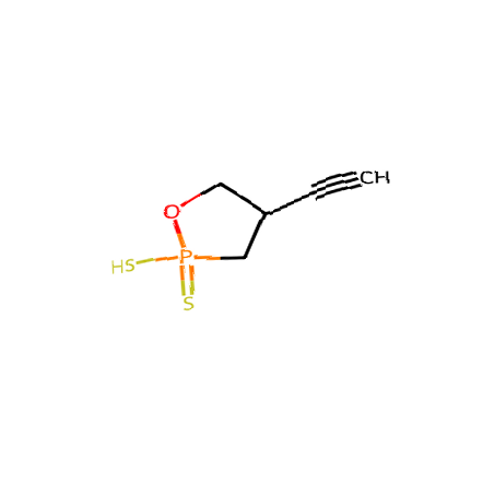 C#CC1COP(=S)(S)C1